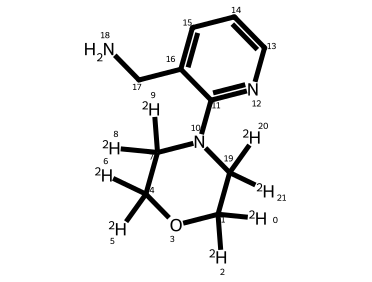 [2H]C1([2H])OC([2H])([2H])C([2H])([2H])N(c2ncccc2CN)C1([2H])[2H]